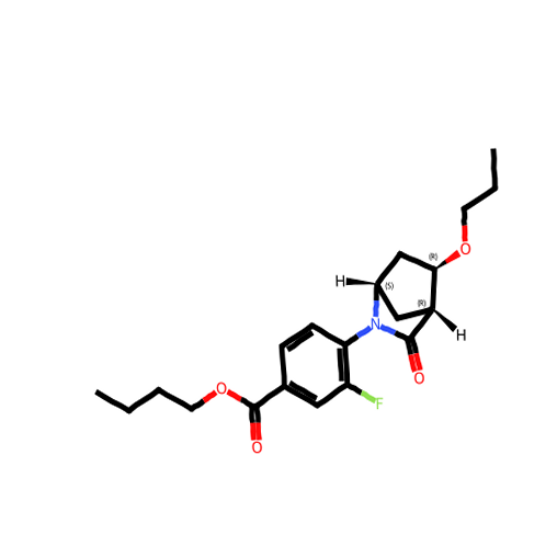 CCCCOC(=O)c1ccc(N2C(=O)[C@@H]3C[C@H]2C[C@H]3OCCC)c(F)c1